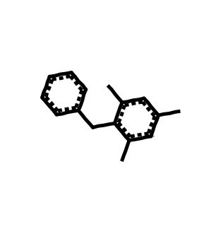 Cc1[c]c(C)c(Cc2ccccc2)c(C)c1